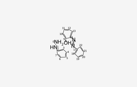 NNc1ccccc1.Oc1ccccc1N=Nc1ccccc1